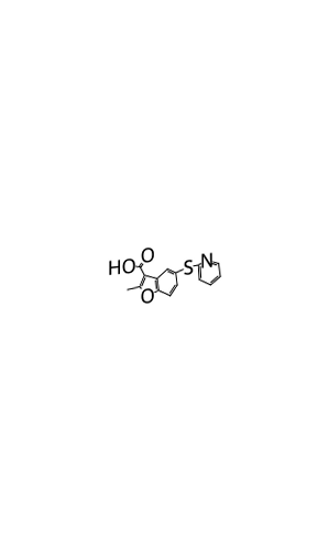 Cc1oc2ccc(Sc3ccccn3)cc2c1C(=O)O